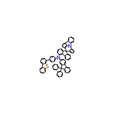 c1ccc(C2(c3ccccc3)c3ccccc3-c3ccc(N(c4ccc(-c5cccc6c5sc5ccccc56)cc4)c4cccc5c4-c4ccccc4C54c5ccccc5-n5c6ccccc6c6cccc4c65)cc32)cc1